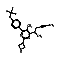 CC#CCN(C)c1nc(C2CNC2)nc(-c2ccc(OC(F)(F)F)cc2)c1C